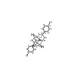 Ic1ccc(C23CC4C5C[C@]6(c7ccc(I)cc7)CC4[C@H](C2)[C@H](C6)[C@H]5C3)cc1